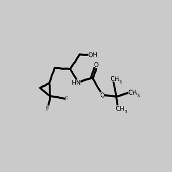 CC(C)(C)OC(=O)NC(CO)CC1CC1(F)F